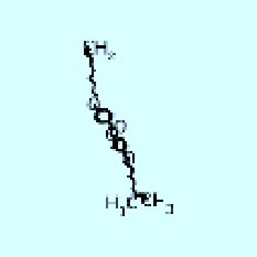 C=CCCCCCCCOc1ccc(C(=O)Oc2ccc(OCCCCC[C@@H](C)CC)cc2)cc1